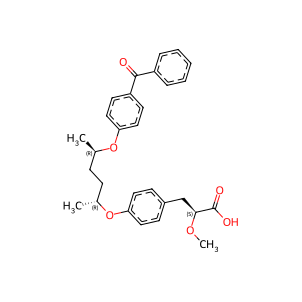 CO[C@@H](Cc1ccc(O[C@H](C)CC[C@@H](C)Oc2ccc(C(=O)c3ccccc3)cc2)cc1)C(=O)O